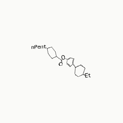 CCCCCC1CCC(C(=O)Oc2ccc(C3CCC(CC)CC3)cc2)CC1